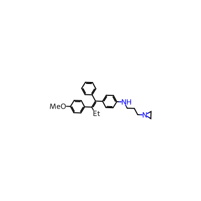 CCC(=C(c1ccccc1)c1ccc(NCCCN2CC2)cc1)c1ccc(OC)cc1